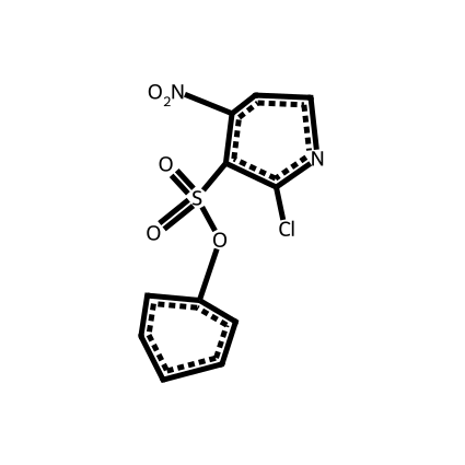 O=[N+]([O-])c1ccnc(Cl)c1S(=O)(=O)Oc1ccccc1